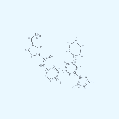 Cc1ccc(NC(=O)N2CC[C@@H](CC(F)(F)F)C2)cc1-c1cc(-c2cncn2C)nc(N2CCOCC2)c1